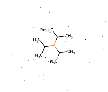 CC(C)P(C(C)C)C(C)C.[Re]